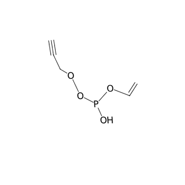 C#CCOOP(O)OC=C